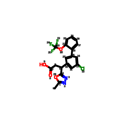 Cc1nnc(C(CC(=O)O)c2cc(Cl)cc(-c3ccccc3OC(F)(F)F)c2)o1